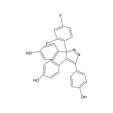 Oc1ccc(C2=C(c3ccc(O)cc3)C(c3ccc(O)cc3)(c3ccc(F)cc3F)N=N2)cc1